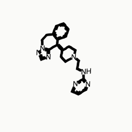 c1cnc(NCCN2CCC(=C3c4ccccc4CCn4ncnc43)CC2)nc1